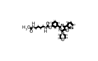 CC(=O)NCCCCNC(=O)Oc1cccc(-c2nc(N3CCOCC3)c3oc4ncccc4c3n2)c1